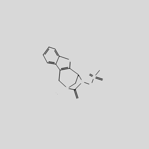 O=C1N2Cc3c(sc4ccccc34)C(C2)N1OS(=O)(=O)[O-].[Na+]